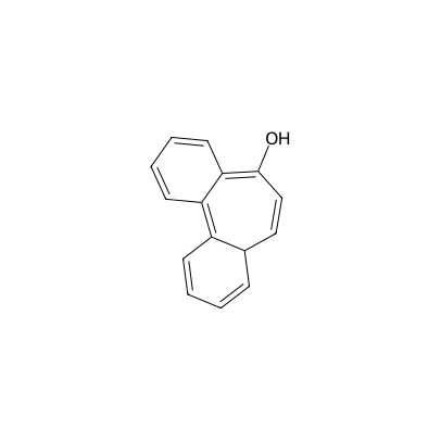 OC1=c2ccccc2=C2C=CC=CC2C=C1